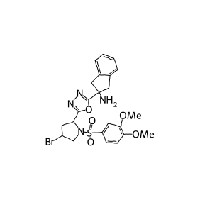 COc1ccc(S(=O)(=O)N2CC(Br)CC2c2nnc(C3(N)Cc4ccccc4C3)o2)cc1OC